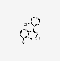 ON=C(c1ccccc1Cl)c1cccc(Br)c1F